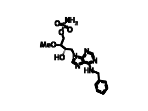 CO[C@@H](COS(N)(=O)=O)[C@@H](O)Cn1cnc2c(NCc3ccccc3)ncnc21